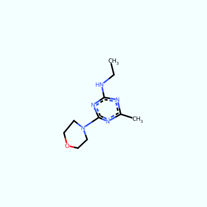 CCNc1nc(C)nc(N2CCOCC2)n1